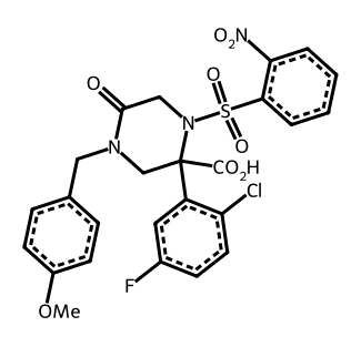 COc1ccc(CN2CC(C(=O)O)(c3cc(F)ccc3Cl)N(S(=O)(=O)c3ccccc3[N+](=O)[O-])CC2=O)cc1